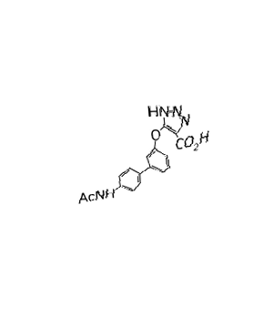 CC(=O)Nc1ccc(-c2cccc(Oc3[nH]nnc3C(=O)O)c2)cc1